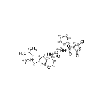 CC(C)CN(C)Cc1ccc2c(c1)OCCC2NC(=O)CC(NS(=O)(=O)c1cc(Cl)sc1Cl)c1ccccc1